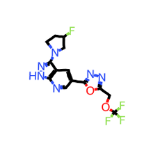 FC1CCN(c2n[nH]c3ncc(-c4nnc(COC(F)(F)F)o4)cc23)C1